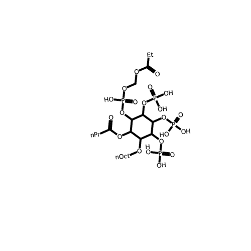 CCCCCCCCOC1C(OC(=O)CCC)C(OP(=O)(O)OCOC(=O)CC)C(OP(=O)(O)O)C(OP(=O)(O)O)C1OP(=O)(O)O